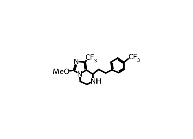 COc1nc(C(F)(F)F)c2n1CCNC2CCc1ccc(C(F)(F)F)cc1